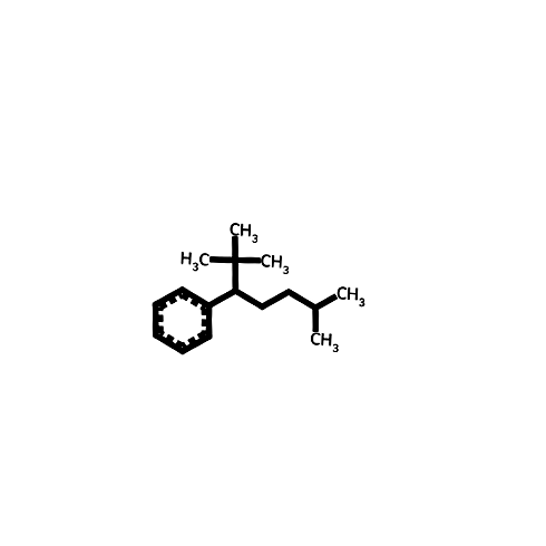 CC(C)CCC(c1ccccc1)C(C)(C)C